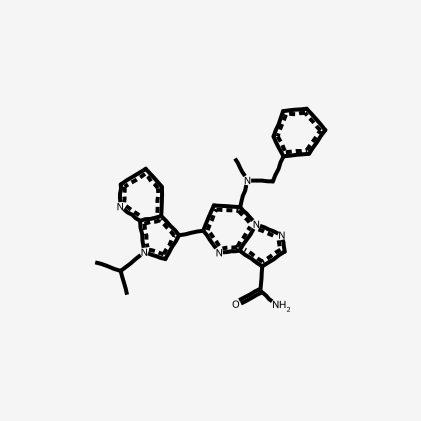 CC(C)n1cc(-c2cc(N(C)Cc3ccccc3)n3ncc(C(N)=O)c3n2)c2cccnc21